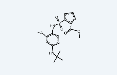 COC(=O)c1sccc1S(=O)(=O)Nc1ccc(NC(C)(C)C)cc1OC